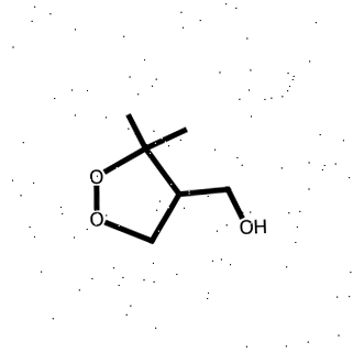 CC1(C)OOCC1CO